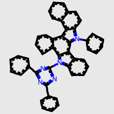 c1ccc(-c2nc(-c3ccccc3)nc(-n3c4ccccc4c4c3c3ccccc3c3c5c6ccccc6ccc5n(-c5ccccc5)c34)n2)cc1